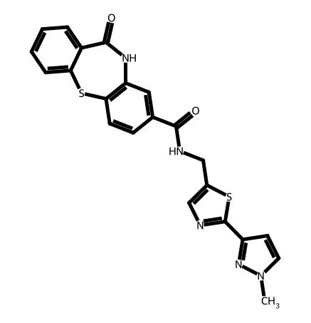 Cn1ccc(-c2ncc(CNC(=O)c3ccc4c(c3)NC(=O)c3ccccc3S4)s2)n1